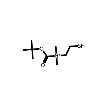 CC(C)(C)OC(=O)[N+](C)(C)CCS